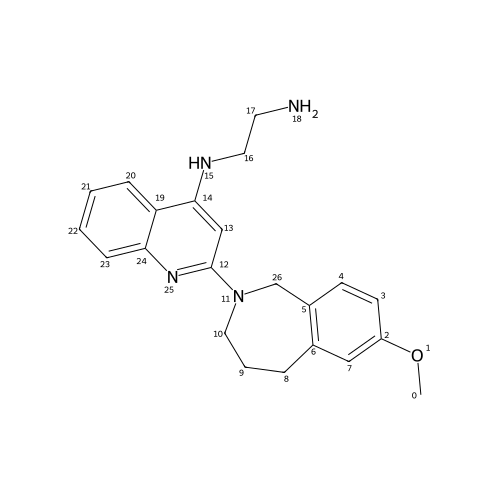 COc1ccc2c(c1)CCCN(c1cc(NCCN)c3ccccc3n1)C2